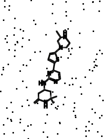 C=C1CC(Nc2nccc(-c3ccc(N4CCNC(C)C4)s3)n2)CC(C)(C)N1